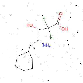 NC(CC1CCCCC1)C(O)C(F)(F)C(=O)O